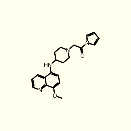 COc1ccc(NC2CCN(CC(=O)n3cccc3)CC2)c2cccnc12